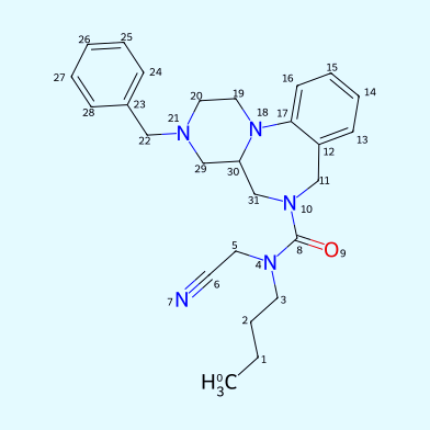 CCCCN(CC#N)C(=O)N1Cc2ccccc2N2CCN(Cc3ccccc3)CC2C1